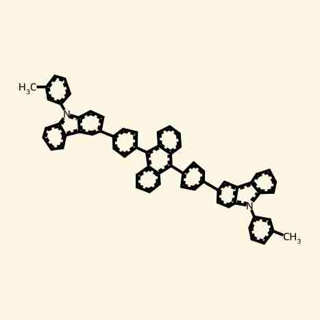 Cc1cccc(-n2c3ccccc3c3cc(-c4ccc(-c5c6ccccc6c(-c6ccc(-c7ccc8c(c7)c7ccccc7n8-c7cccc(C)c7)cc6)c6ccccc56)cc4)ccc32)c1